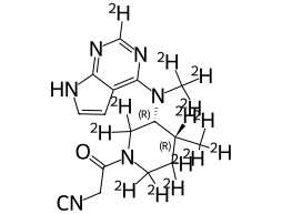 [2H]c1nc(N([C@H]2C([2H])([2H])N(C(=O)C[N+]#[C-])C([2H])([2H])C([2H])([2H])[C@@]2([2H])C([2H])([2H])[2H])C([2H])([2H])[2H])c2cc[nH]c2n1